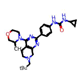 CC1COCCN1c1nc(-c2ccc(NC(=O)NC3CC3)cc2)nc2c1CCN(CC(C)(C)C)C2